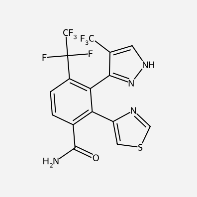 NC(=O)c1ccc(C(F)(F)C(F)(F)F)c(-c2n[nH]cc2C(F)(F)F)c1-c1cscn1